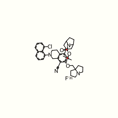 CC(C)(C)OC(=O)N1C2CCC1CN(c1nc(OCC34CCCN3C[C@H](F)C4)c(C#N)c3c1CCN(c1cccc4cccc(Cl)c14)C3)C2